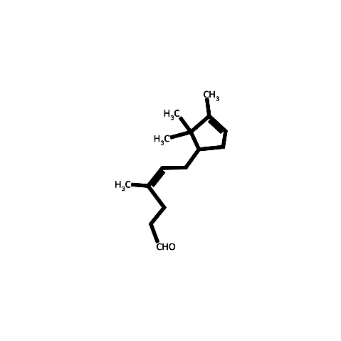 CC(=CCC1CC=C(C)C1(C)C)CCC=O